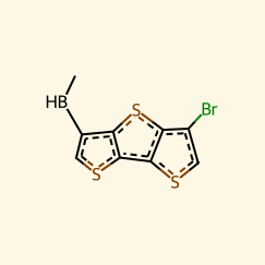 CBc1csc2c1sc1c(Br)csc12